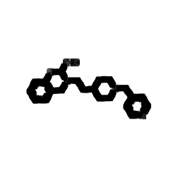 O=CC1Oc2ccccc2CN1CCC1CCN(Cc2ccncc2)CC1